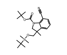 CC(C)(C)OC(=O)N1CC(C)(CO[Si](C)(C)C(C)(C)C)c2cccc(C#N)c21